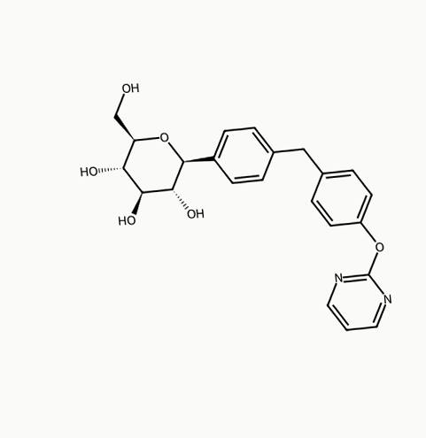 OC[C@H]1O[C@@H](c2ccc(Cc3ccc(Oc4ncccn4)cc3)cc2)[C@H](O)[C@@H](O)[C@@H]1O